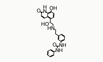 O=C(Nc1ccccc1)Nc1cccc(CCNC[C@H](O)c2ccc(O)c3[nH]c(=O)ccc23)c1